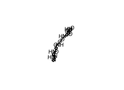 C[C@H]1CCCN1Cc1nc2cc(NC(=O)c3ccc(C(=O)NCCOCCOCCNc4ccc5c(c4)C(=O)N(C4CCC(=O)NC4=O)C5=O)cc3)ccc2[nH]1